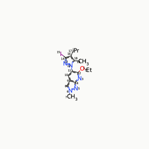 CCOc1nc2nn(C)cc2cc1-n1nc(I)c(C(C)C)c1C